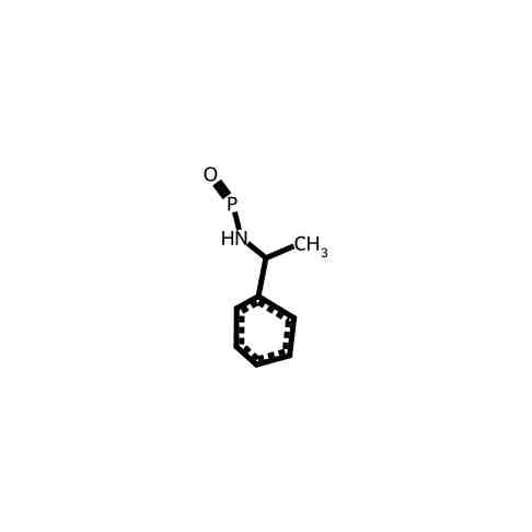 CC(NP=O)c1ccccc1